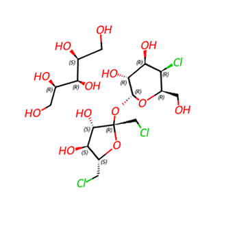 OC[C@@H](O)[C@H](O)[C@@H](O)CO.OC[C@H]1O[C@H](O[C@]2(CCl)O[C@H](CCl)[C@@H](O)[C@@H]2O)[C@H](O)[C@@H](O)[C@H]1Cl